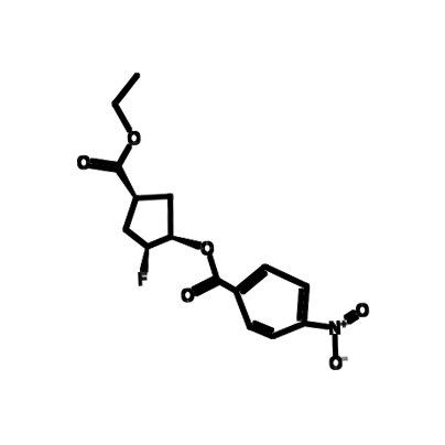 CCOC(=O)[C@@H]1C[C@H](F)[C@H](OC(=O)c2ccc([N+](=O)[O-])cc2)C1